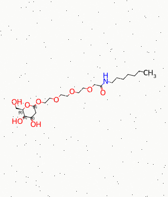 CCCCCCCNC(=O)COCCOCCOCCO[C@H]1C[C@@H](O)[C@@H](O)[C@@H](CO)O1